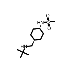 CC(C)(C)NC[C@H]1CC[C@H](NS(C)(=O)=O)CC1